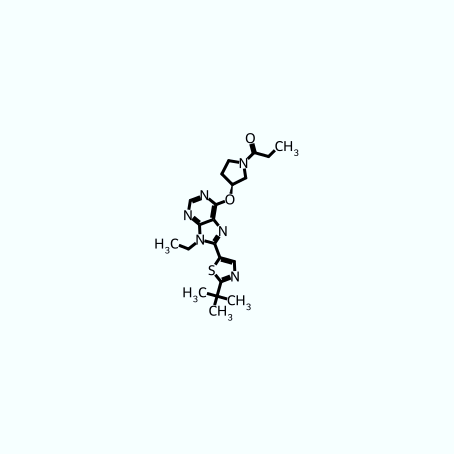 CCC(=O)N1CC[C@H](Oc2ncnc3c2nc(-c2cnc(C(C)(C)C)s2)n3CC)C1